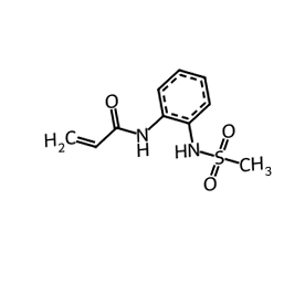 C=CC(=O)Nc1ccccc1NS(C)(=O)=O